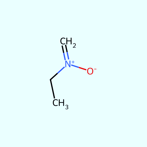 C=[N+]([O-])CC